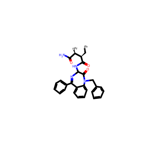 CCC[C@H](C(N)=O)[C@@H](CC(C)C)C(=O)NC1N=C(c2ccccc2)c2ccccc2N(Cc2ccccc2)C1=O